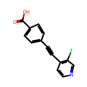 O=C(O)c1ccc(C#Cc2ccncc2F)cc1